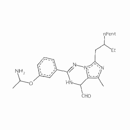 CCCCCC(CC)Cc1nc(C)c2n1N=C(c1cccc(OC(C)N)c1)NC2C=O